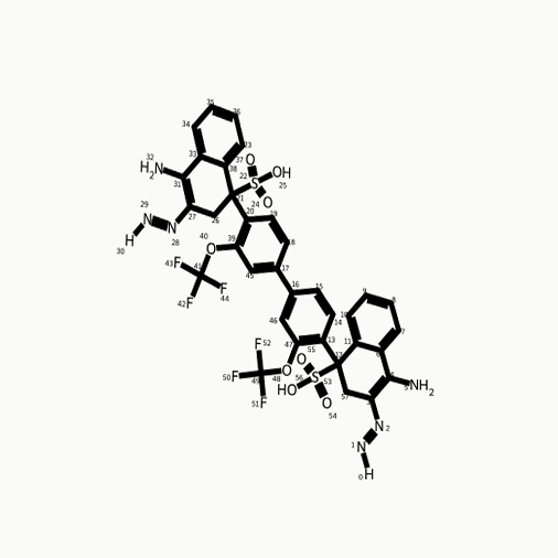 [H]/N=N/C1=C(N)c2ccccc2C(c2ccc(-c3ccc(C4(S(=O)(=O)O)CC(/N=N/[H])=C(N)c5ccccc54)c(OC(F)(F)F)c3)cc2OC(F)(F)F)(S(=O)(=O)O)C1